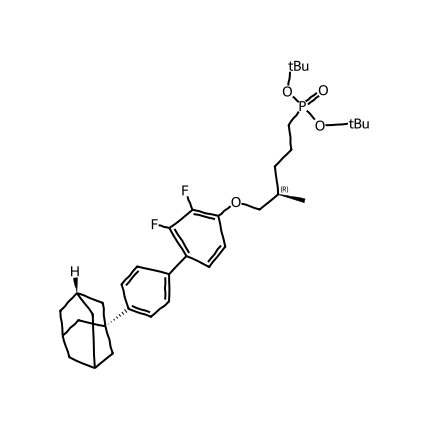 C[C@H](CCCP(=O)(OC(C)(C)C)OC(C)(C)C)COc1ccc(-c2ccc([C@]34CC5CC(C[C@H](C5)C3)C4)cc2)c(F)c1F